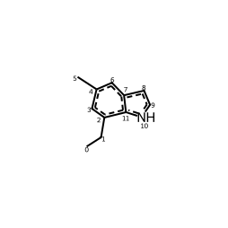 CCc1cc(C)cc2cc[nH]c12